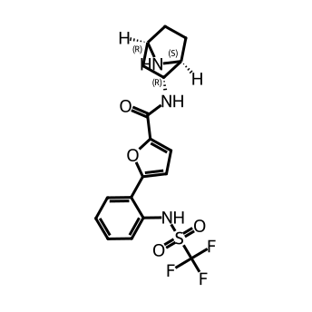 O=C(N[C@@H]1C[C@H]2CC[C@@H]1N2)c1ccc(-c2ccccc2NS(=O)(=O)C(F)(F)F)o1